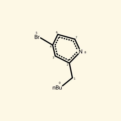 [CH2]CCCCc1cc(Br)ccn1